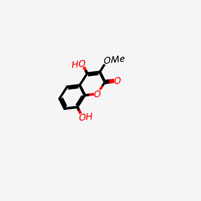 COc1c(O)c2cccc(O)c2oc1=O